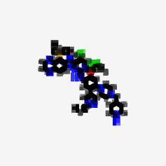 COc1cc(N2CCN(CC3CCNCC3)CC2)c(-c2cnn(C)c2)cc1Nc1ncc(Cl)c(Nc2ccc3nccnc3c2P(C)C)n1.Cl